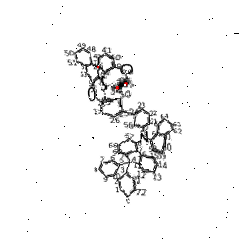 c1ccc(C2(c3ccccc3)c3ccccc3-c3c(N(c4cccc(-c5ccc6c(c5)S5(c7ccccc7Oc7ccccc75)c5cc7ccccc7cc5O6)c4)c4cccc5ccccc45)cccc32)cc1